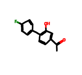 CC(=O)c1ccc(-c2ccc(F)cc2)c(O)c1